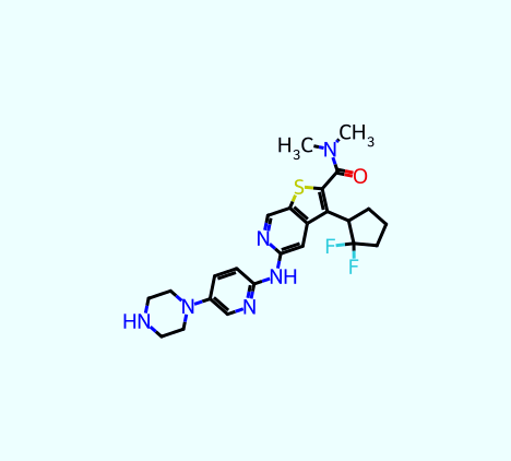 CN(C)C(=O)c1sc2cnc(Nc3ccc(N4CCNCC4)cn3)cc2c1C1CCCC1(F)F